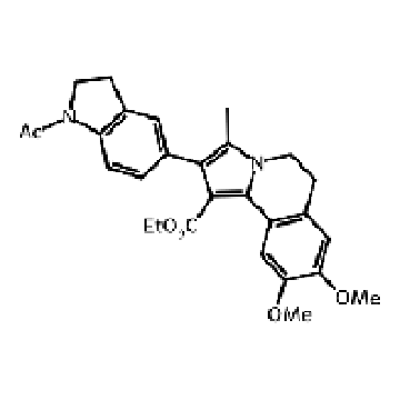 CCOC(=O)c1c(-c2ccc3c(c2)CCN3C(C)=O)c(C)n2c1-c1cc(OC)c(OC)cc1CC2